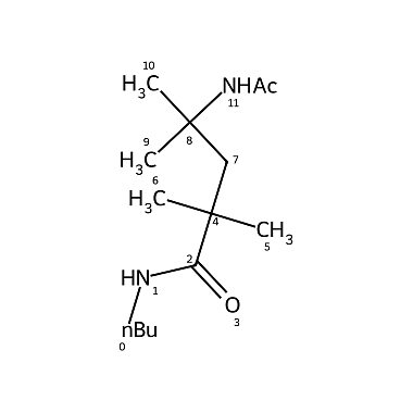 CCCCNC(=O)C(C)(C)CC(C)(C)NC(C)=O